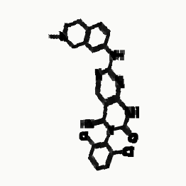 CN1CCc2ccc(Nc3ncc4c(=N)n(-c5c(Cl)cccc5Cl)c(=O)[nH]c4n3)cc2C1